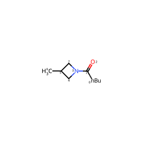 CCCCC(=O)N1CC(C)C1